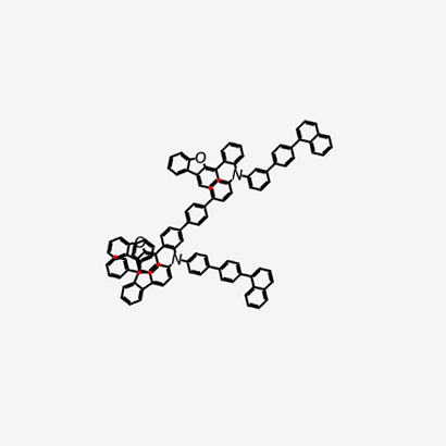 c1ccc(C2(c3ccccc3)c3ccccc3-c3ccc(N(c4ccc(-c5ccc(-c6cccc7ccccc67)cc5)cc4)c4cc(-c5ccc(-c6ccc(N(c7cccc(-c8ccc(-c9cccc%10ccccc9%10)cc8)c7)c7ccccc7-c7cccc8c7oc7ccccc78)cc6)cc5)ccc4-c4cccc5c4oc4ccccc45)cc32)cc1